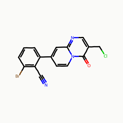 N#Cc1c(Br)cccc1-c1ccn2c(=O)c(CCl)cnc2c1